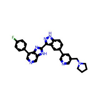 Fc1ccc(-c2cncc3[nH]c(-c4n[nH]c5ccc(-c6cncc(CN7CCCC7)c6)cc45)nc23)cc1